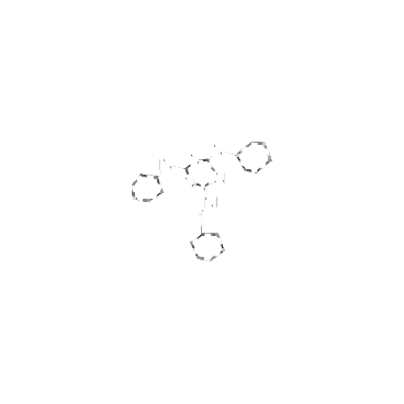 c1ccc(Nc2nc(NSc3ccccc3)nc(Nc3ccccc3)n2)cc1